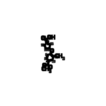 COC(=O)c1ccc(OC2CCN(C(=O)O)C2)c(C)c1